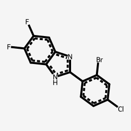 Fc1cc2nc(-c3ccc(Cl)cc3Br)[nH]c2cc1F